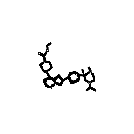 CCOC(=O)N1CCN(c2ccnn3cc(-c4ccc([C@@]5(C)CN(C(C)C)CCN5C)cc4)cc23)CC1